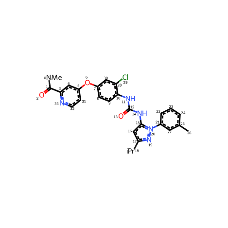 CNC(=O)c1cc(Oc2ccc(NC(=O)Nc3cc(C(C)C)nn3-c3cccc(C)c3)c(Cl)c2)ccn1